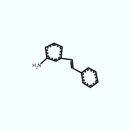 Nc1cccc(/C=C/c2ccccc2)c1